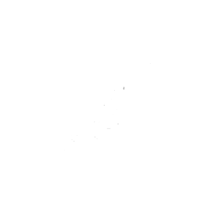 CCCCNC(=O)c1nc2c(s1)C(=O)C=C(NCCN(C)C)C2=O